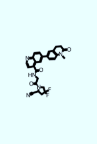 CN1C(=O)CCc2cc(-c3ccc4nccc(C(=O)NCC(=O)N5CC(F)(F)CC5C#N)c4c3)ccc21